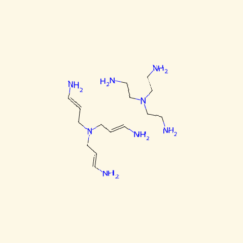 NC=CCN(CC=CN)CC=CN.NCCN(CCN)CCN